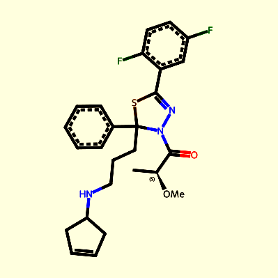 CO[C@@H](C)C(=O)N1N=C(c2cc(F)ccc2F)SC1(CCCNC1CC=CC1)c1ccccc1